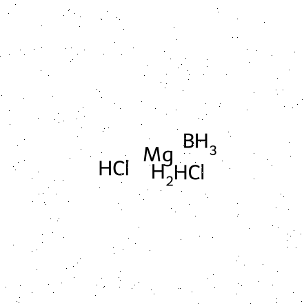 B.Cl.Cl.[MgH2]